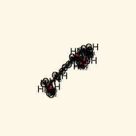 CCNC(CCCCNC(C)(C)C(=O)C(CCC(=O)O)NC(C)(C)C(=O)C1CCCN1C(C)=O)C(=O)NCCCOCCOCCOCCCNC(=O)C(CCCCNC(C)(C)C(=O)C(CCC(=O)O)NC(C)C(=O)C1CCCN1C(C)=O)NC(C)(C)C(=O)C(CCC(=O)O)NC(C)(C)C(=O)C1CCCN1C(C)=O